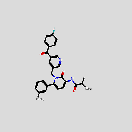 CNC(C)C(=O)Nc1ccc(-c2cccc(NC(C)=O)c2)n(Cc2cncc(C(=O)c3ccc(F)cc3)c2)c1=O